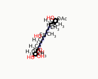 CC(=O)OC1CC(C)(C)C(=C=C/C(C)=C/C=C/C(C)=C/C=C/C=C(C)/C=C/C=C(\C)C(=O)CC2(O)C(C)(C)CC(O)CC2(C)O)C(C)(O)C1.CCO